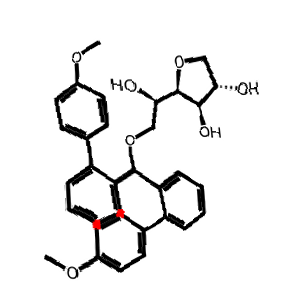 COc1ccc(-c2ccccc2C(OC[C@@H](O)[C@H]2OC[C@H](O)[C@H]2O)c2ccccc2-c2ccc(OC)cc2)cc1